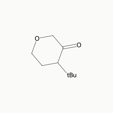 CC(C)(C)C1CCOCC1=O